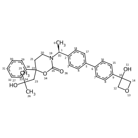 C[C@@H](c1ccc(-c2ccc(C3(O)COC3)cc2)cc1)N1CCC(CC(C)(C)O)(c2ccccc2)OC1=O